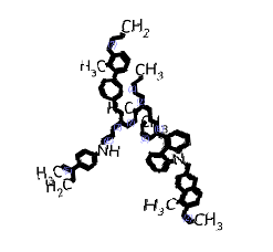 C=C/C=C\c1cccc(C2=CC=C(CCC(/C=C\C(C)/C(=C\C=C/CC)CC/C=C(\C=C/CC)c3cccc4c3c3ccccc3n4Cc3ccc4c(C)c(/C=C\C)ccc4c3)=C/C=C/Nc3ccc(/C(C=C)=C/C)cc3)C=CC2)c1C